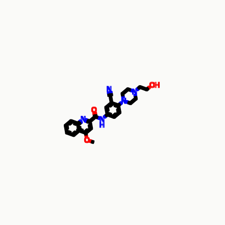 COc1cc(C(=O)Nc2ccc(N3CCN(CCO)CC3)c(C#N)c2)nc2ccccc12